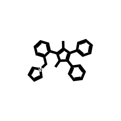 CC1=C(c2ccccc2Cn2cccc2)C(C)C(c2ccccc2)=C1c1ccccc1